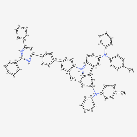 Cc1ccc(N(c2ccccc2)c2ccc3c(c2)c2cc(N(c4ccccc4)c4ccc(C)cc4)ccc2n3-c2ccc(-c3ccc(-c4cc(-c5ccccc5)nc(-c5ccccc5)n4)cc3)cc2C)cc1